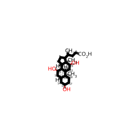 CC(CCC(=O)O)C1CC[C@H]2C3[C@H](O)C[C@@H]4C[C@H](O)CC[C@]4(C)[C@H]3C[C@H](O)[C@]12C